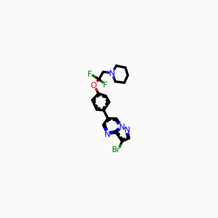 FC(F)(CN1CCCCC1)Oc1ccc(-c2cnc3c(Br)cnn3c2)cc1